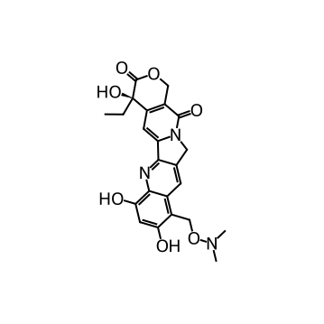 CC[C@]1(O)C(=O)OCc2c1cc1n(c2=O)Cc2cc3c(CON(C)C)c(O)cc(O)c3nc2-1